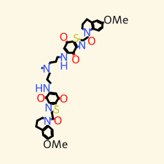 COc1ccc2c(c1)CCCN2C(=O)c1nc2c(s1)C(=O)C=C(NCCCN(C)CCCNC1=CC(=O)c3sc(C(=O)N4CCCc5cc(OC)ccc54)nc3C1=O)C2=O